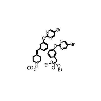 CCOP(=O)(Cc1cccc(Oc2ncc(Br)cn2)c1)OCC.O=C(O)N1CCC(=Cc2cccc(Oc3ncc(Br)cn3)c2)CC1